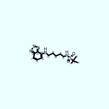 CC(C)(C)S(=O)(=O)NCCCCCNc1cccc2nsnc12